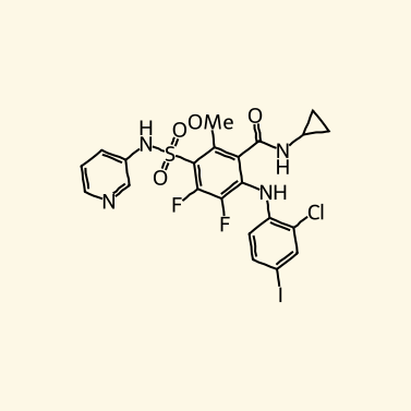 COc1c(C(=O)NC2CC2)c(Nc2ccc(I)cc2Cl)c(F)c(F)c1S(=O)(=O)Nc1cccnc1